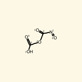 O=NC(=O)OC(=O)O